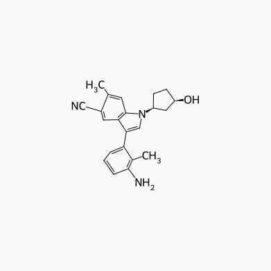 Cc1cc2c(cc1C#N)c(-c1cccc(N)c1C)cn2[C@H]1CC[C@@H](O)C1